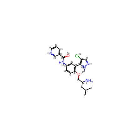 CC(C)CC(N)COc1ccc(NC(=O)c2cccnc2)cc1-c1c(Cl)cnn1C